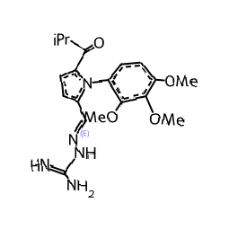 COc1ccc(-n2c(/C=N/NC(=N)N)ccc2C(=O)C(C)C)c(OC)c1OC